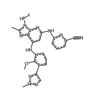 COc1c(Nc2cc(Nc3cccc(C#N)n3)nc3c2nc(C)n3PI)cccc1-c1cnn(C)n1